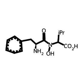 CC(C)C(C(=O)O)N(O)C(=O)[C@@H](N)Cc1ccccc1